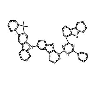 CC1(C)c2ccccc2-c2cc3c4ccccc4n(-c4ccc5sc6c(-c7nc(-c8ccccc8)nc(-c8cccc9c8sc8ccccc89)n7)cccc6c5c4)c3cc21